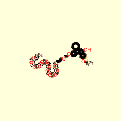 CCCC[Si](C)(C)O[Si](C)(C)O[Si](C)(C)O[Si](C)(C)O[Si](C)(C)O[Si](C)(C)O[Si](C)(C)O[Si](C)(C)O[Si](C)(C)O[Si](C)(C)O[Si](C)(C)O[Si](C)(C)O[Si](C)(C)CCCOCCOc1ccc2c(c1)C1(CCCCCCC1)c1cc(O)c3cc4c(cc3c1-2)OC(C(C)C)(C(C)C)S4